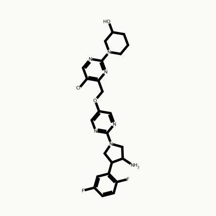 NC1CN(c2ncc(OCc3nc(N4CCCC(O)C4)ncc3Cl)cn2)CC1c1cc(F)ccc1F